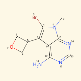 Cn1c(Br)c(C2COC2)c2c(N)ncnc21